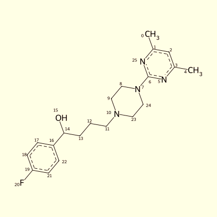 Cc1cc(C)nc(N2CCN(CCCC(O)c3ccc(F)cc3)CC2)n1